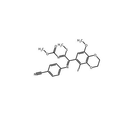 COC(=O)N=C(SC)C(=Nc1ccc(C#N)cc1)c1cc(OC)c2c(c1F)OCCO2